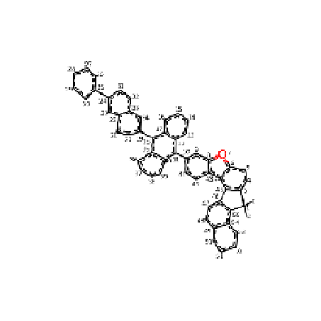 CC1(C)c2ccc3oc4cc(-c5c6ccccc6c(-c6ccc7cc(-c8ccccc8)ccc7c6)c6ccccc56)ccc4c3c2-c2ccc3ccccc3c21